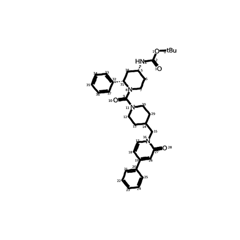 CC(C)(C)OC(=O)N[C@@H]1CCN(C(=O)N2CCC(Cn3ccc(-c4ccccc4)cc3=O)CC2)[C@H](c2ccccc2)C1